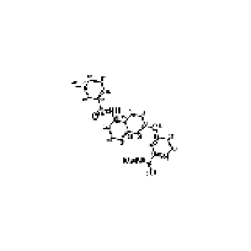 CNC(=O)c1cc(Oc2ccc3c(NC(=O)c4cccc(C)c4)cccc3c2)ccn1